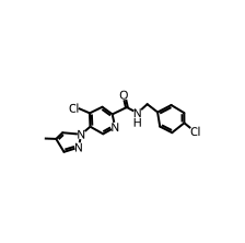 Cc1cnn(-c2cnc(C(=O)NCc3ccc(Cl)cc3)cc2Cl)c1